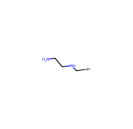 CCC[CH]NCCN